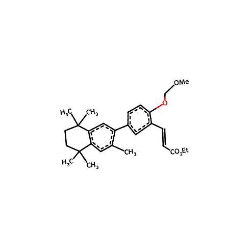 CCOC(=O)C=Cc1cc(-c2cc3c(cc2C)C(C)(C)CCC3(C)C)ccc1OCOC